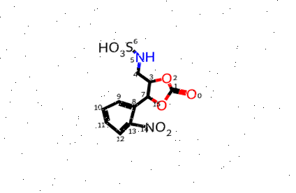 O=C1OC(CNS(=O)(=O)O)C(c2ccccc2[N+](=O)[O-])O1